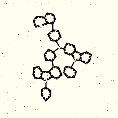 c1ccc(-n2c3ccccc3c3ccc(N(c4ccc(-c5cccc6ccccc56)cc4)c4cccc(-c5cccc6c5c5ccccc5n6-c5ccccc5)c4)cc32)cc1